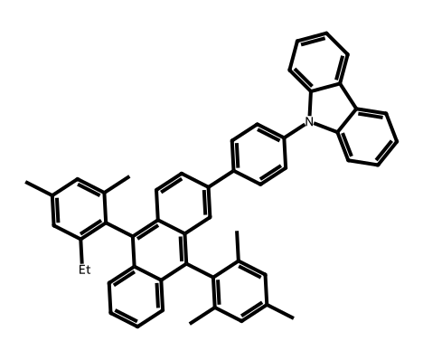 CCc1cc(C)cc(C)c1-c1c2ccccc2c(-c2c(C)cc(C)cc2C)c2cc(-c3ccc(-n4c5ccccc5c5ccccc54)cc3)ccc12